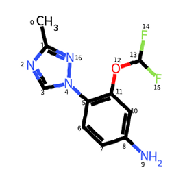 Cc1ncn(-c2ccc(N)cc2OC(F)F)n1